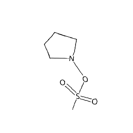 CS(=O)(=O)ON1CCCC1